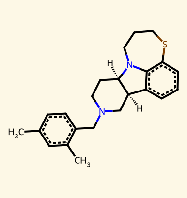 Cc1ccc(CN2CC[C@@H]3[C@H](C2)c2cccc4c2N3CCCS4)c(C)c1